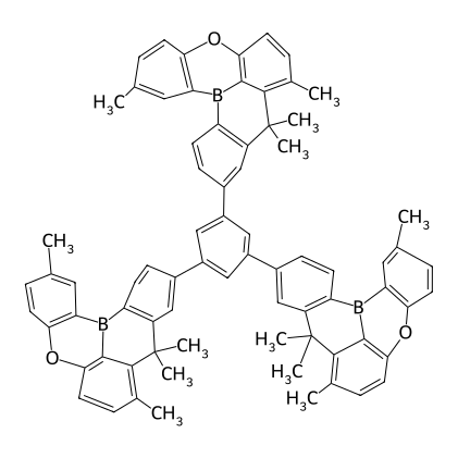 Cc1ccc2c(c1)B1c3ccc(-c4cc(-c5ccc6c(c5)C(C)(C)c5c(C)ccc7c5B6c5cc(C)ccc5O7)cc(-c5ccc6c(c5)C(C)(C)c5c(C)ccc7c5B6c5cc(C)ccc5O7)c4)cc3C(C)(C)c3c(C)ccc(c31)O2